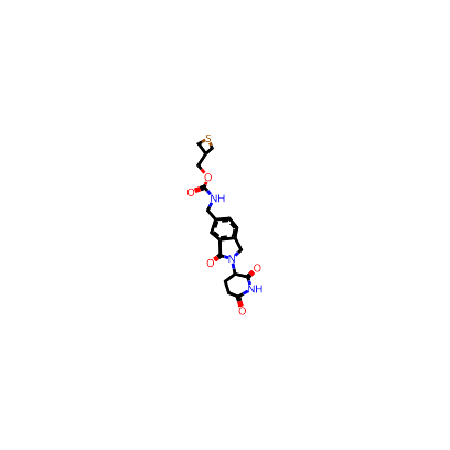 O=C1CCC(N2Cc3ccc(CNC(=O)OCC4CSC4)cc3C2=O)C(=O)N1